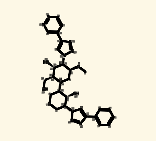 CO[C@H]1C[SH]([C@@H]2COC[C@H](n3cc(-c4ccccc4)nn3)[C@H]2O)[C@H](CO)[C@H](O)[C@@H]1n1cc(-c2ccnnc2)nn1